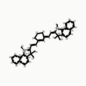 CN1/C(=C/C=C2C=C(/C=C/C3=[N+](C)c4c(ccc5ccccc45)C3(C)C)CCC/2)C(C)(C)c2ccc3ccccc3c21